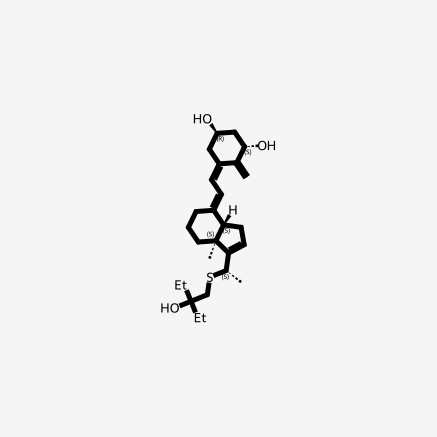 C=C1C(=CC=C2CCC[C@]3(C)C([C@H](C)SCC(O)(CC)CC)=CC[C@@H]23)C[C@@H](O)C[C@@H]1O